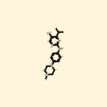 CC(C)c1nc(Nc2ccc(N3CCN(C)CC3)cc2)ncc1Cl